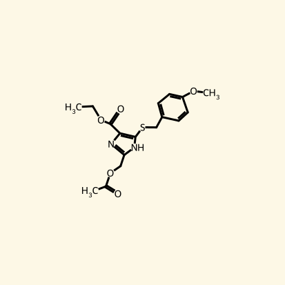 CCOC(=O)c1nc(COC(C)=O)[nH]c1SCc1ccc(OC)cc1